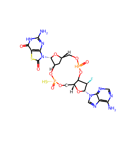 Nc1nc2c(sc(=O)n2[C@@H]2O[C@@H]3CO[PH](=O)OC4[C@@H](F)[C@H](n5cnc6c(N)ncnc65)O[C@@H]4CO[P@](=O)(S)O[C@@H]2C3)c(=O)[nH]1